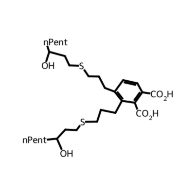 CCCCCC(O)CCSCCCc1ccc(C(=O)O)c(C(=O)O)c1CCCSCCC(O)CCCCC